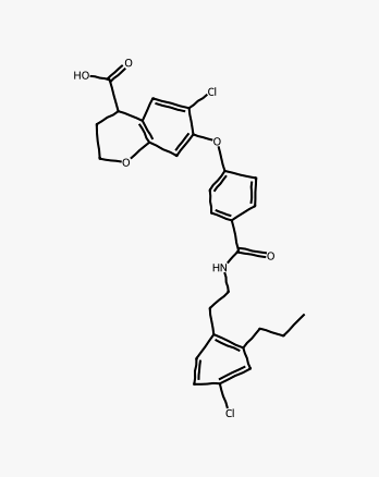 CCCc1cc(Cl)ccc1CCNC(=O)c1ccc(Oc2cc3c(cc2Cl)C(C(=O)O)CCO3)cc1